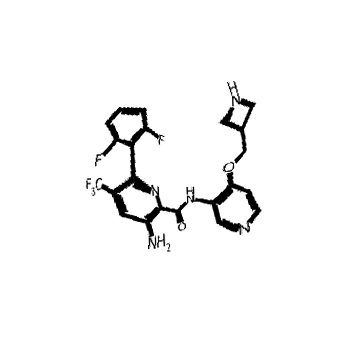 Nc1cc(C(F)(F)F)c(-c2c(F)cccc2F)nc1C(=O)Nc1cnccc1OCC1CNC1